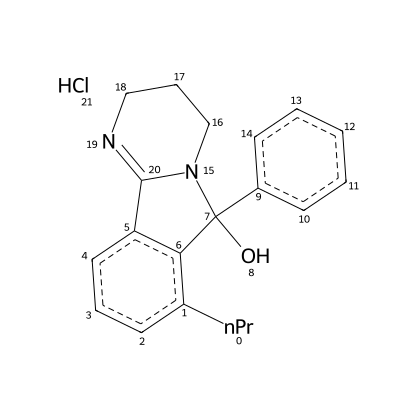 CCCc1cccc2c1C(O)(c1ccccc1)N1CCCN=C21.Cl